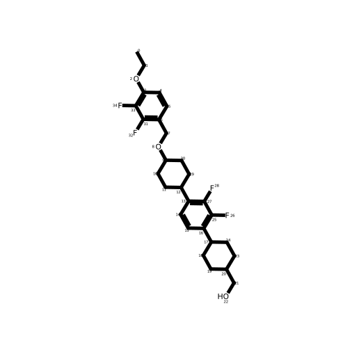 CCOc1ccc(COC2CCC(c3ccc(C4CCC(CO)CC4)c(F)c3F)CC2)c(F)c1F